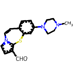 CN1CCN(c2ccc3c(c2)Sc2c(C=O)ccn2C=C3)CC1